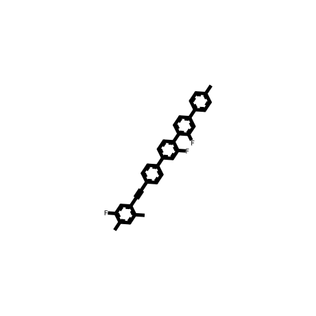 Cc1ccc(-c2ccc(-c3ccc(-c4ccc(C#Cc5cc(F)c(C)cc5C)cc4)cc3F)c(F)c2)cc1